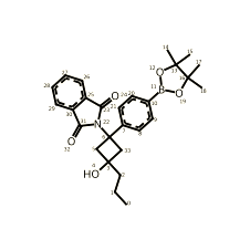 CCCC1(O)CC(c2ccc(B3OC(C)(C)C(C)(C)O3)cc2)(N2C(=O)c3ccccc3C2=O)C1